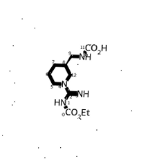 CCOC(=O)NC(=N)N1CCC[C@@H](CNC(=O)O)C1